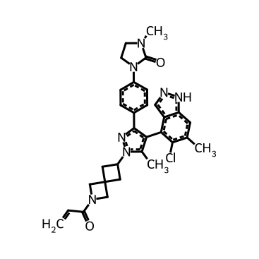 C=CC(=O)N1CC2(CC(n3nc(-c4ccc(N5CCN(C)C5=O)cc4)c(-c4c(Cl)c(C)cc5[nH]ncc45)c3C)C2)C1